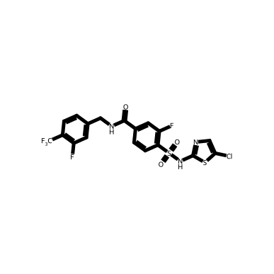 O=C(NCc1ccc(C(F)(F)F)c(F)c1)c1ccc(S(=O)(=O)Nc2ncc(Cl)s2)c(F)c1